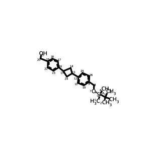 CC(C)(C)[Si](C)(C)OCc1ccc(C2CC(c3ccc(CO)cc3)C2)cc1